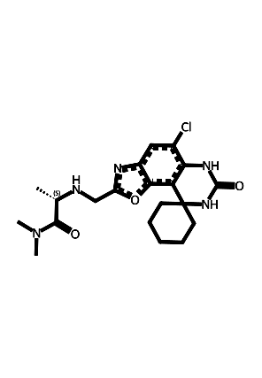 C[C@H](NCc1nc2cc(Cl)c3c(c2o1)C1(CCCCC1)NC(=O)N3)C(=O)N(C)C